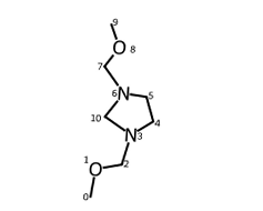 COCN1CCN(COC)C1